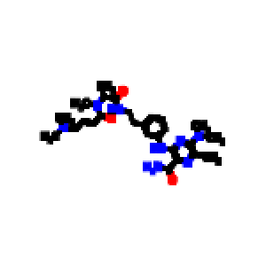 Cc1nc(C(N)=O)c(Nc2cccc(CCNC(=O)[C@H](C)N(C)C(=O)/C=C/CN(C)C)c2)nc1N(C)C